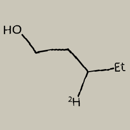 [2H]C(CC)CCO